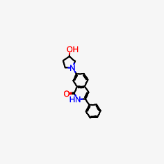 O=c1[nH]c(-c2ccccc2)cc2ccc(N3CCC(O)C3)cc12